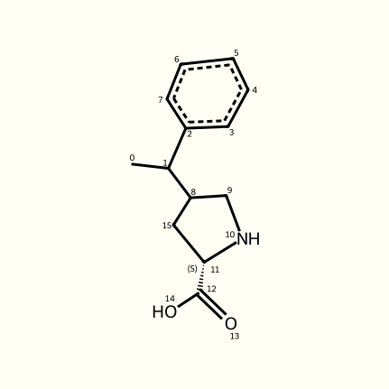 CC(c1ccccc1)C1CN[C@H](C(=O)O)C1